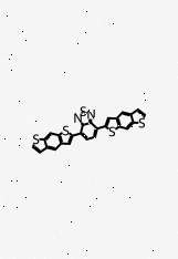 c1cc2cc3cc(-c4ccc(-c5cc6cc7ccsc7cc6s5)c5nsnc45)sc3cc2s1